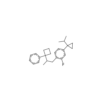 CC(C)C1(c2ccc(CC(C)C3(c4ccccc4)CCC3)c(F)c2)CC1